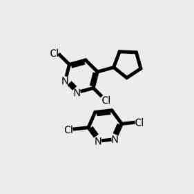 Clc1cc(C2CCCC2)c(Cl)nn1.Clc1ccc(Cl)nn1